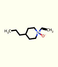 C=C[N+]1([O-])CCC(CCC)CC1